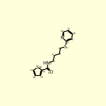 O=C(NCCCCSc1ccccn1)c1cccs1